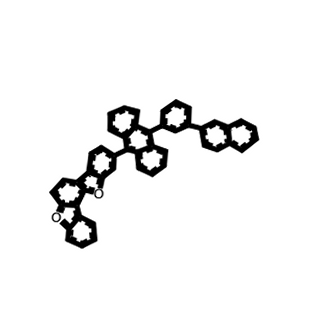 c1cc(-c2ccc3ccccc3c2)cc(-c2c3ccccc3c(-c3ccc4c(c3)oc3c4ccc4oc5ccccc5c43)c3ccccc23)c1